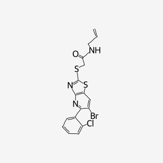 C=CCNC(=O)CSc1nc2nc(-c3ccccc3Cl)c(Br)cc2s1